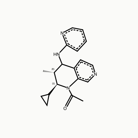 CC(=O)N1c2cnccc2C(Nc2ccccn2)[C@@H](C)[C@@H]1C1CC1